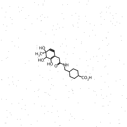 C[C@@]1(O)C#CC(CC(=O)NCC2CCC(C(=O)O)CC2)=C(O)C1O